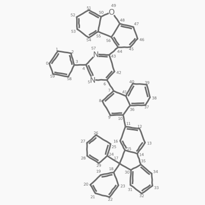 c1ccc(-c2nc(-c3ccc(-c4ccc5c(c4)C(c4ccccc4)(c4ccccc4)c4ccccc4-5)c4ccccc34)cc(-c3cccc4oc5ccccc5c34)n2)cc1